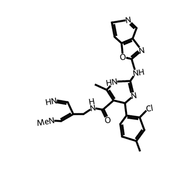 CN/C=C(\C=N)CNC(=O)C1=C(C)NC(Nc2nc3cnccc3o2)=NC1c1ccc(C)cc1Cl